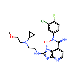 COCCN(CCNc1nc2nccc(C(=N)N(O)c3ccc(F)c(Cl)c3)c2[nH]1)C1CC1